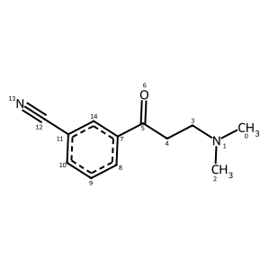 CN(C)CCC(=O)c1cccc(C#N)c1